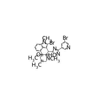 CO[C@]12C[C@@H](C)CN(C)[C@@H]1C(c1nc(-c3cncc(Br)c3)no1)c1c(Br)n(C)c3cccc2c13